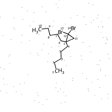 CCCCCC1(CCCCC)CC1(Br)Br